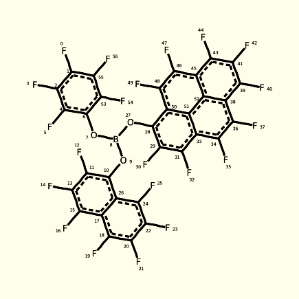 Fc1c(F)c(F)c(OB(Oc2c(F)c(F)c(F)c3c(F)c(F)c(F)c(F)c23)Oc2c(F)c(F)c3c(F)c(F)c4c(F)c(F)c(F)c5c(F)c(F)c2c3c45)c(F)c1F